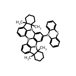 CC12CCCCC1(C)N1c3cc(N4c5ccccc5Sc5ccccc54)cc4c3B(c3cccc2c31)c1cccc2c1N4C1(C)CCCCC21C